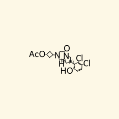 CC(=O)OC1CC(N2CC(=O)N3C[C@@H](c4c(O)ccc(Cl)c4Cl)C[C@H]3C2)C1